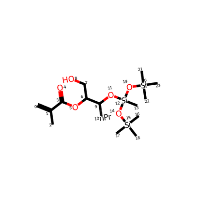 C=C(C)C(=O)OC(CO)C(CCC)O[Si](C)(O[Si](C)(C)C)O[Si](C)(C)C